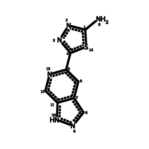 Nc1nnc(-c2cc3cn[nH]c3cn2)s1